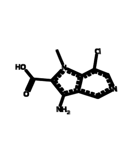 Cn1c(C(=O)O)c(N)c2cncc(Cl)c21